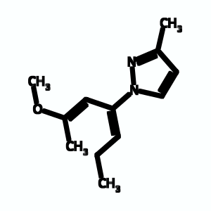 CC/C=C(\C=C(/C)OC)n1ccc(C)n1